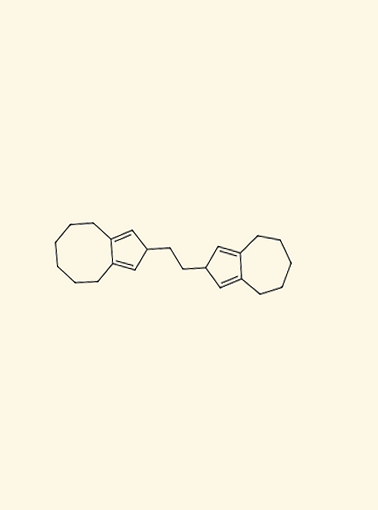 C1=C2CCCCCCC2=CC1CCC1C=C2CCCCCC2=C1